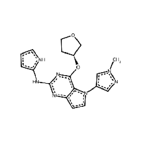 Cn1cc(-n2ccc3nc(Nc4ccc[nH]4)nc(O[C@H]4CCOC4)c32)cn1